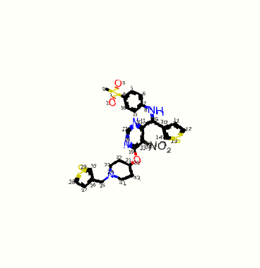 CS(=O)(=O)c1ccc(NC(c2ccsc2)c2ncnc(OC3CCN(Cc4ccsc4)CC3)c2[N+](=O)[O-])cc1